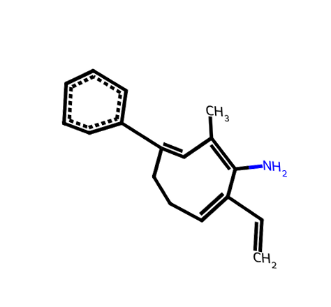 C=CC1=C/CC/C(c2ccccc2)=C/C(C)=C\1N